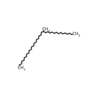 CCCCCCCCCCCCCCCCCCCCC(C)CCCCCCCCCCCCCC